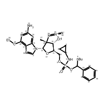 CCCCC(OP(=O)(NC1CC1)OC[C@H]1O[C@H](n2cnc3c(OCC)nc(N)nc32)[C@](C)(N=[N+]=[N-])[C@@H]1O)c1ccccc1